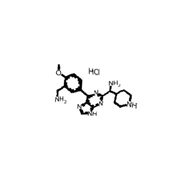 COc1ccc(-c2nc(C(N)C3CCNCC3)nc3[nH]cnc23)cc1CN.Cl